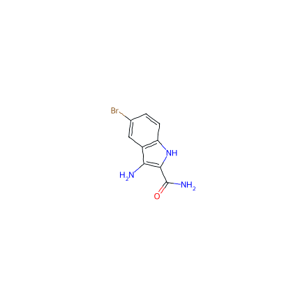 NC(=O)c1[nH]c2ccc(Br)cc2c1N